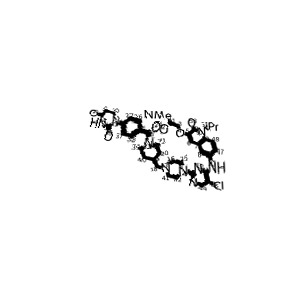 CNC(=O)COc1cc2cc(Nc3nc(N4CCN(CC5CCN(C(=O)c6ccc(N7CCC(=O)NC7=O)cc6)CC5)CC4)ncc3Cl)ccc2n(C(C)C)c1=O